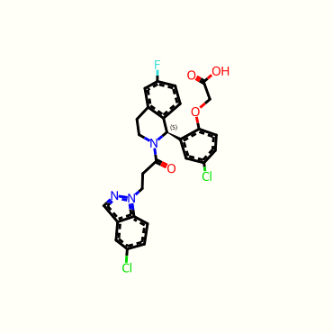 O=C(O)COc1ccc(Cl)cc1[C@@H]1c2ccc(F)cc2CCN1C(=O)CCn1ncc2cc(Cl)ccc21